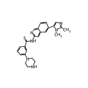 Cc1ncc(-c2ccc3cnc(NC(=S)c4cccc(N5CCNCC5)c4)cc3c2)n1C